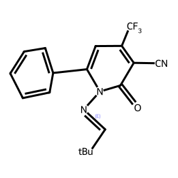 CC(C)(C)/C=N/n1c(-c2ccccc2)cc(C(F)(F)F)c(C#N)c1=O